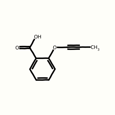 CC#COc1ccccc1C(=O)O